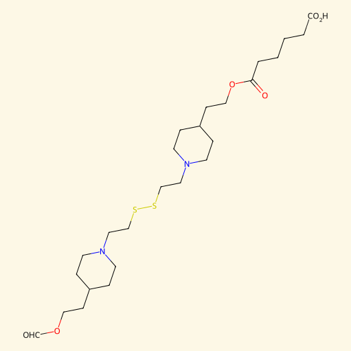 O=COCCC1CCN(CCSSCCN2CCC(CCOC(=O)CCCCC(=O)O)CC2)CC1